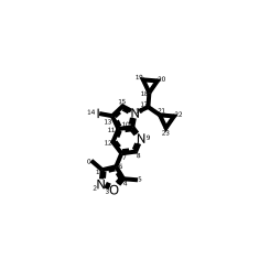 Cc1noc(C)c1-c1cnc2c(c1)c(I)cn2C(C1CC1)C1CC1